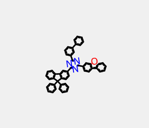 c1ccc(-c2cccc(-c3nc(-c4ccc5c(c4)-c4ccccc4C5(c4ccccc4)c4ccccc4)nc(-c4ccc5c(c4)oc4ccccc45)n3)c2)cc1